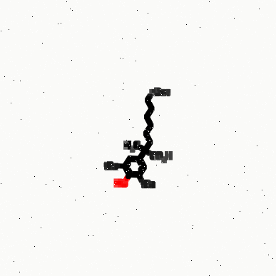 CCCCCCCCCCCCCCCCC(C)(C(=O)O)c1cc(C(C)(C)C)c(O)c(C(C)(C)C)c1